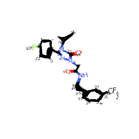 O=C(Cn1nc(-c2ccc(F)cc2)n(C2CC2)c1=O)NCc1cccc(C(F)(F)F)c1